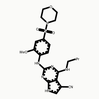 COc1cc(S(=O)(=O)N2CCOCC2)ccc1Nc1nc(NCC(C)C)c2c(C#N)c[nH]c2n1